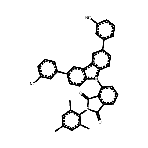 Cc1cc(C)c(N2C(=O)c3cccc(-n4c5ccc(-c6cccc(C#N)c6)cc5c5cc(-c6cccc(C#N)c6)ccc54)c3C2=O)c(C)c1